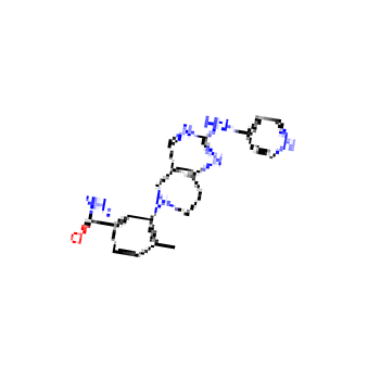 Cc1ccc(C(N)=O)cc1N1CCc2nc(Nc3ccncc3)ncc2C1